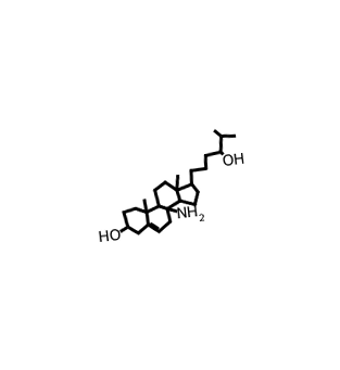 CC(C)C(O)CCCC1CCC2C1(C)CCC1C3(C)CCC(O)CC3=CCC12N